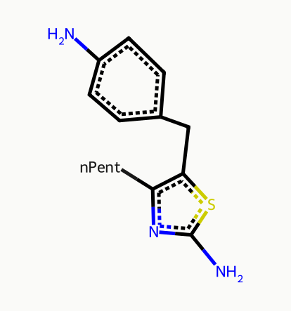 CCCCCc1nc(N)sc1Cc1ccc(N)cc1